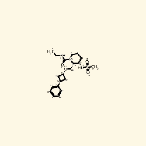 CCNC(=O)N1CCC[C@H](NS(C)(=O)=O)[C@@H]1CO[C@H]1C[C@H](c2ccccc2)C1